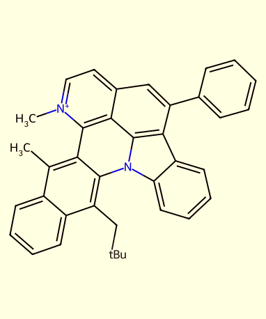 Cc1c2ccccc2c(CC(C)(C)C)c2c1c1c3c(cc[n+]1C)cc(-c1ccccc1)c1c4ccccc4n2c13